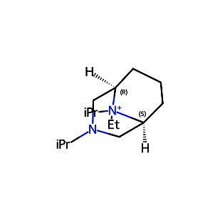 CC[N+]1(C(C)C)[C@@H]2CCC[C@H]1CN(C(C)C)C2